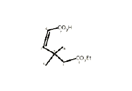 CCOC(=O)CC(C)(C)/C=C\C(=O)O